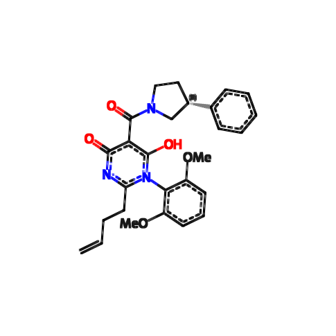 C=CCCc1nc(=O)c(C(=O)N2CC[C@H](c3ccccc3)C2)c(O)n1-c1c(OC)cccc1OC